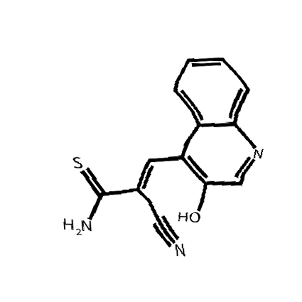 N#CC(=Cc1c(O)cnc2ccccc12)C(N)=S